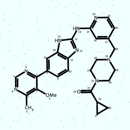 COc1c(C)ncnc1-c1ccc2nc(Nc3cc(CN4CCN(C(=O)C5CC5)CC4)ccn3)[nH]c2c1